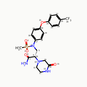 CS(=O)(=O)N(C[C@@H](C(N)=O)N1CCNC(=O)C1)c1ccc(Oc2ccc(C(F)(F)F)cc2)cc1